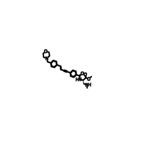 CNC[C@H](NC(=O)c1ccc(C#CC=Cc2ccc(CN3CCOCC3)cc2)cc1)C(=O)OC